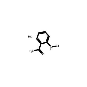 Cl.O=C(c1ccccc1NCl)C(F)(F)F